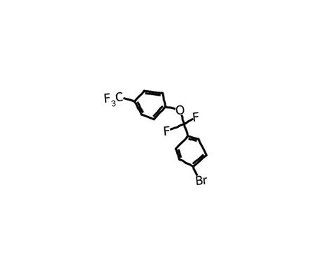 FC(F)(F)c1ccc(OC(F)(F)c2ccc(Br)cc2)cc1